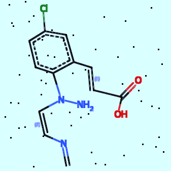 C=N/C=C\N(N)c1ccc(Cl)cc1/C=C/C(=O)O